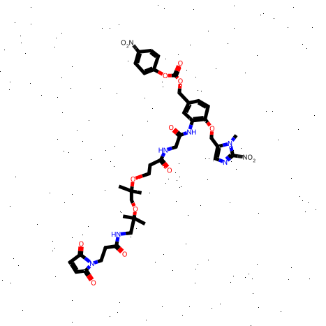 Cn1c(COc2ccc(COC(=O)Oc3ccc([N+](=O)[O-])cc3)cc2NC(=O)CNC(=O)CCOC(C)(C)COC(C)(C)CNC(=O)CCN2C(=O)C=CC2=O)cnc1[N+](=O)[O-]